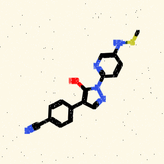 CSNc1ccc(-n2ncc(-c3ccc(C#N)cc3)c2O)nc1